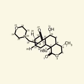 CCCCC12C(=O)OC[C@@H](C)C1C[C@@H](O)[C@@]13CC[C@@H](CC21)[C@@H](CN1CCOCC1)C3=O